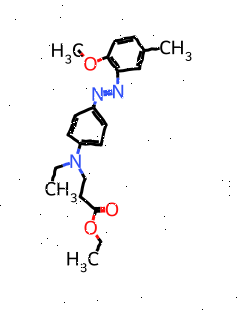 CCOC(=O)CCN(CC)c1ccc(/N=N/c2cc(C)ccc2OC)cc1